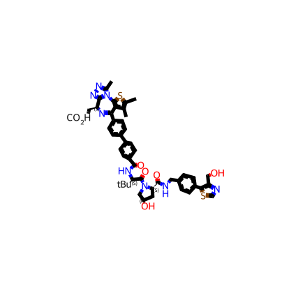 Cc1sc2c(c1C)C(c1ccc(-c3ccc(C(=O)N[C@H](C(=O)N4C[C@H](O)C[C@H]4C(=O)NCc4ccc(-c5scnc5CO)cc4)C(C)(C)C)cc3)cc1)=N[C@@H](CC(=O)O)c1nnc(C)n1-2